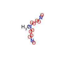 CN(CCC(=O)OCCOC(=O)CCN1CCOCC1)CCC(=O)OCCOC(=O)CCN1CCOCC1